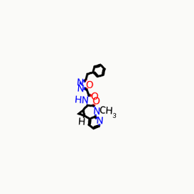 CN1C(=O)[C@@H](NC(=O)c2nnc(Cc3ccccc3)o2)C2C[C@H]2c2cccnc21